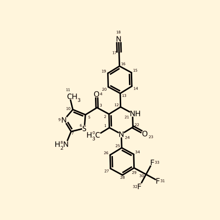 CC1=C(C(=O)c2sc(N)nc2C)C(c2ccc(C#N)cc2)NC(=O)N1c1cccc(C(F)(F)F)c1